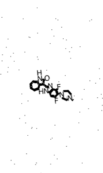 CN1CCCN(c2c(F)cc3[nH]c(-c4c5cccccc-5[nH]c4=O)nc3c2F)CC1